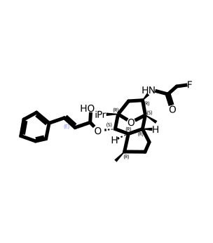 CC(C)[C@@]12C[C@@H](NC(=O)CF)[C@@](C)(O1)[C@@H]1CC[C@@H](C)[C@H]1[C@@H]2OC(O)/C=C/c1ccccc1